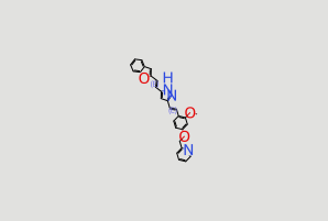 COc1cc(OCc2ccccn2)ccc1/C=C/c1cc(/C=C/c2cc3ccccc3o2)[nH]n1